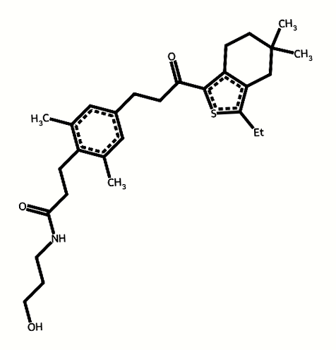 CCc1sc(C(=O)CCc2cc(C)c(CCC(=O)NCCCO)c(C)c2)c2c1CC(C)(C)CC2